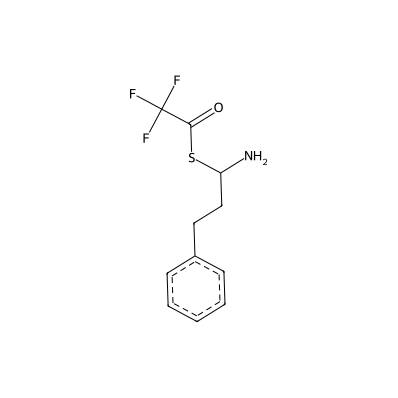 NC(CCc1ccccc1)SC(=O)C(F)(F)F